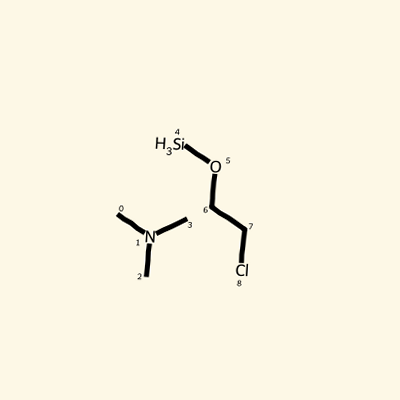 CN(C)C.[SiH3]OCCCl